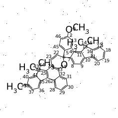 COc1ccc(C2(c3ccc4c(c3)C(C)(C)c3ccccc3-4)C=Cc3c4c(c5ccccc5c3O2)-c2ccc(C)cc2C4(C)C)cc1